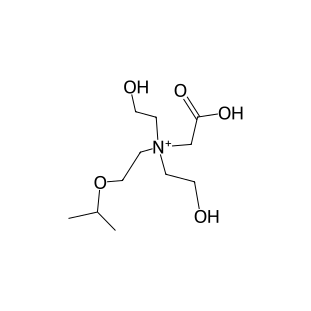 CC(C)OCC[N+](CCO)(CCO)CC(=O)O